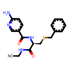 N#CCNC(=O)[C@H](CSCc1ccccc1)NC(=O)c1ccc(N)nc1